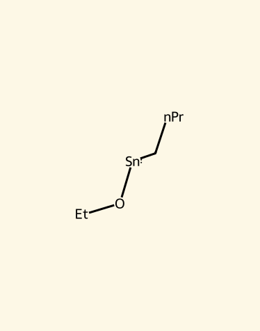 CCC[CH2][Sn][O]CC